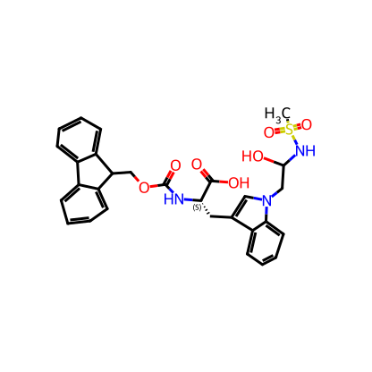 CS(=O)(=O)NC(O)Cn1cc(C[C@H](NC(=O)OCC2c3ccccc3-c3ccccc32)C(=O)O)c2ccccc21